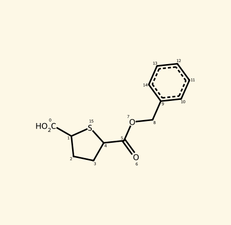 O=C(O)C1CCC(C(=O)OCc2ccccc2)S1